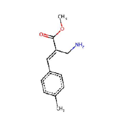 COC(=O)/C(=C/c1ccc(C)cc1)CN